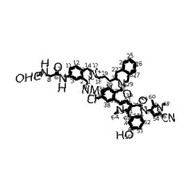 CNCc1cc(NC(=O)CNC=O)ccc1C[N+](C)(C)CCCC1Cc2ccccc2CN1C(=O)c1ccc(Cl)cc1-c1cc(C(=O)N(c2ccc(O)cc2)c2cc(C#N)n(C)c2C)c(C)n1C